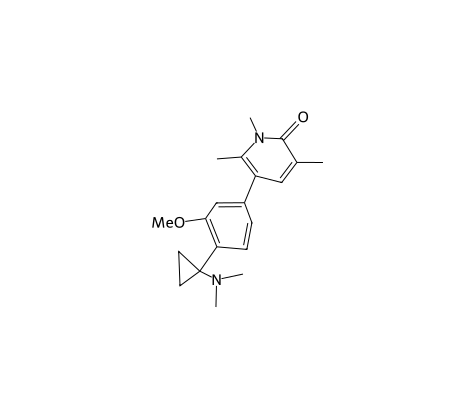 COc1cc(-c2cc(C)c(=O)n(C)c2C)ccc1C1(N(C)C)CC1